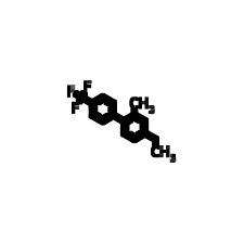 CCc1ccc(-c2ccc(C(F)(F)F)cc2)c(C)c1